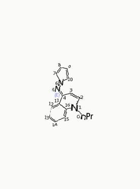 CCCn1cc/c(=N\n2cccc2)c2ccccc21